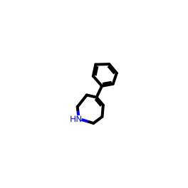 C1=C(c2ccccc2)CCNCC1